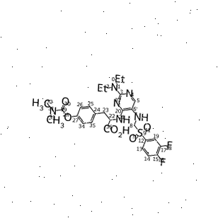 CCN(CC)c1ncc(NCS(=O)(=O)c2ccc(F)c(F)c2)c(NC(Cc2ccc(OC(=O)N(C)C)cc2)C(=O)O)n1